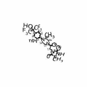 CCCc1cc(C(O)(C(F)(F)F)C(F)(F)F)ccc1N1CCN(C(=O)CN2C(=O)NC(C)C2=O)C[C@@H]1C